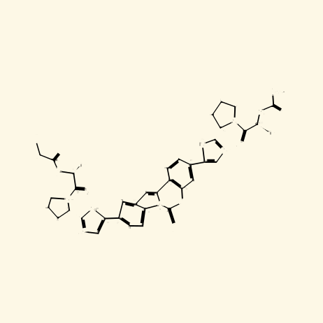 COC(=O)N[C@H](C(=O)N1CCC[C@H]1c1ncc(-c2ccc3c(c2)oc(=O)n2c4ccc(-c5cnc([C@@H]6CCCN6C(=O)[C@@H](NC(=O)CO)C(C)C)[nH]5)cc4cc32)[nH]1)C(C)C